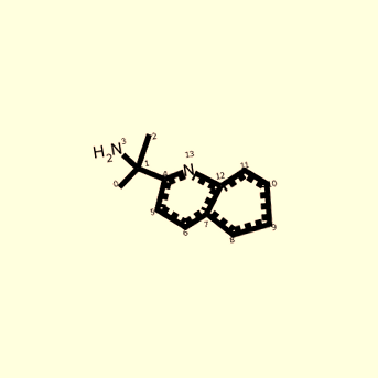 CC(C)(N)c1ccc2ccccc2n1